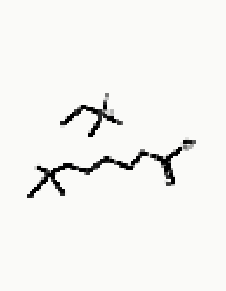 CC(C)(C)CCCCCC(=O)[O-].CC[N+](C)(C)C